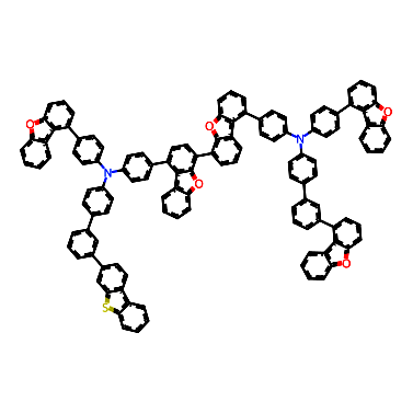 c1cc(-c2ccc(N(c3ccc(-c4cccc5oc6ccccc6c45)cc3)c3ccc(-c4ccc(-c5cccc6c5oc5cccc(-c7ccc(N(c8ccc(-c9cccc(-c%10cccc%11oc%12ccccc%12c%10%11)c9)cc8)c8ccc(-c9cccc%10oc%11ccccc%11c9%10)cc8)cc7)c56)c5oc6ccccc6c45)cc3)cc2)cc(-c2ccc3c(c2)sc2ccccc23)c1